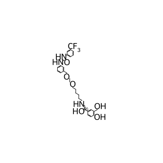 O=C(Nc1cccc(COCCOCCCCCCNC[C@H](O)c2ccc(O)c(CO)c2)c1)Nc1cccc(C(F)(F)F)c1